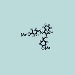 COc1ccc(/C=C/c2[nH]c3ccccc3c2/N=N/c2ccc(OC)cc2)cc1